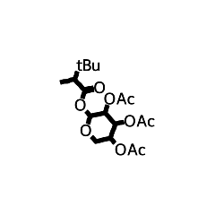 CC(=O)OC1COC(OC(=O)C(C)C(C)(C)C)C(OC(C)=O)C1OC(C)=O